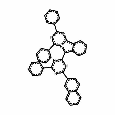 c1ccc(-c2nc(-c3ccc4ccccc4c3)nc(-c3c4ccccc4c4nc(-c5ccccc5)nc(-c5ccccc5)n34)n2)cc1